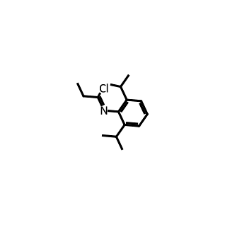 CCC(Cl)=Nc1c(C(C)C)cccc1C(C)C